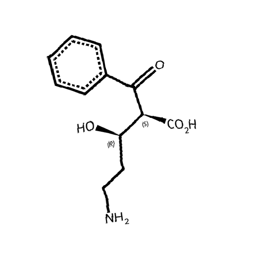 NCC[C@@H](O)[C@H](C(=O)O)C(=O)c1ccccc1